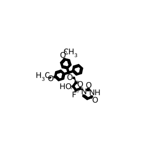 COc1ccc(C(OC[C@H]2O[C@@H](n3ccc(=O)[nH]c3=O)[C@@H](F)[C@@H]2O)(c2ccccc2)c2ccc(OC)cc2)cc1